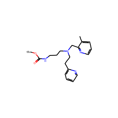 Cc1cccnc1CN(CCCNC(=O)OC(C)(C)C)CCc1ccccn1